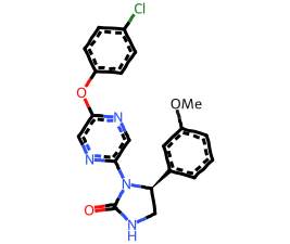 COc1cccc([C@H]2CNC(=O)N2c2cnc(Oc3ccc(Cl)cc3)cn2)c1